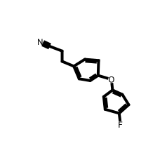 N#CCCc1ccc(Oc2ccc(F)cc2)cc1